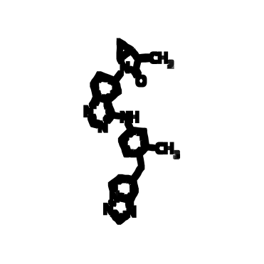 C=C1C(=O)N(c2ccc3ncnc(Nc4ccc(Cc5ccn6ncnc6c5)c(C)c4)c3c2)C2CC12